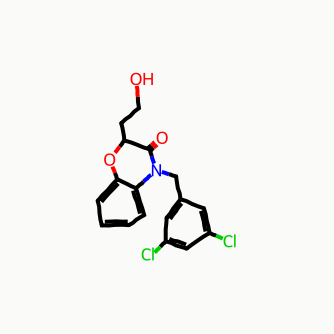 O=C1C(CCO)Oc2ccccc2N1Cc1cc(Cl)cc(Cl)c1